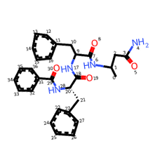 CC(CC(N)=O)NC(=O)C(Cc1ccccc1)NC(=O)[C@H](Cc1ccccc1)NC(=O)c1ccccc1